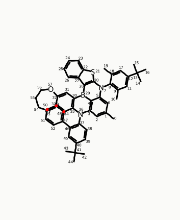 Cc1cc2c3c(c1)N(c1c(C)cc(C(C)(C)C)cc1C)c1sc4ccccc4c1B3c1cc3c(cc1N2c1ccc(C(C)(C)C)cc1-c1ccccc1)OCCCO3